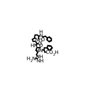 N=C(N)NCCCC(NC(=O)C1CCC2CCC(NC(=O)Cc3ccccc3)C(=O)N21)C(=O)NC(CC(=O)O)Cc1ccccc1